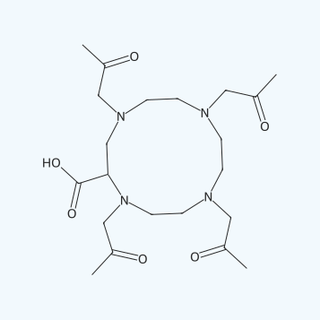 CC(=O)CN1CCN(CC(C)=O)CCN(CC(C)=O)C(C(=O)O)CN(CC(C)=O)CC1